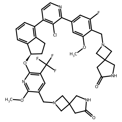 COc1cc(-c2nccc(-c3cccc4c3CC[C@H]4Oc3nc(OC)c(CN4CC5(CNC(=O)C5)C4)cc3C(F)(F)F)c2Cl)cc(F)c1CN1CC2(CNC(=O)C2)C1